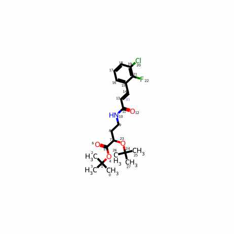 CC(C)(C)OC(=O)C(CCNC(=O)/C=C/c1cccc(Cl)c1F)OC(C)(C)C